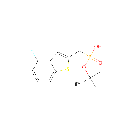 CC(C)C(C)(C)OP(=O)(O)Cc1cc2c(F)cccc2s1